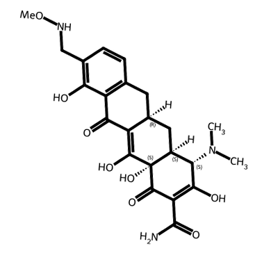 CONCc1ccc2c(c1O)C(=O)C1=C(O)[C@]3(O)C(=O)C(C(N)=O)=C(O)[C@@H](N(C)C)[C@@H]3C[C@@H]1C2